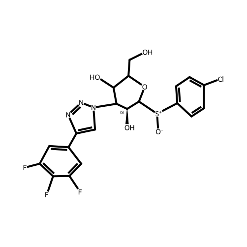 [O-][S+](c1ccc(Cl)cc1)C1OC(CO)C(O)C(n2cc(-c3cc(F)c(F)c(F)c3)nn2)[C@@H]1O